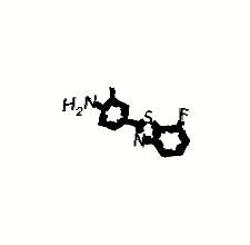 Cc1cc(-c2nc3cccc(F)c3s2)ccc1N